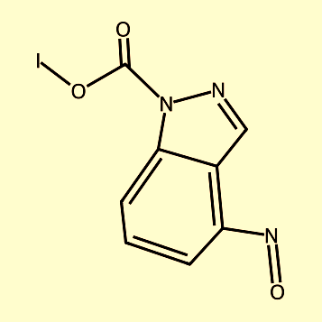 O=Nc1cccc2c1cnn2C(=O)OI